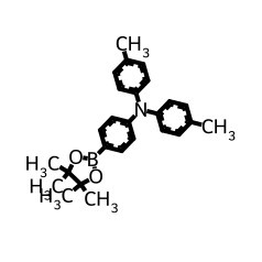 Cc1ccc(N(c2ccc(C)cc2)c2ccc(B3OC(C)(C)C(C)(C)O3)cc2)cc1